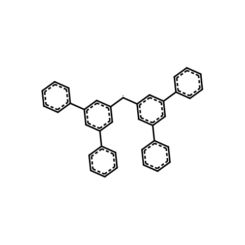 [CH](c1cc(-c2ccccc2)cc(-c2ccccc2)c1)c1cc(-c2ccccc2)cc(-c2ccccc2)c1